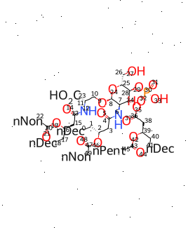 CCCCCCCCCCC[C@H](CC(=O)N[C@H]1[C@@H](OC[C@H](NC(=O)C[C@@H](CCCCCCCCCCC)OC(=O)CCCCCCCCC)C(=O)O)O[C@H](CO)[C@@H](OP(=O)(O)O)[C@@H]1OC(=O)C[C@@H](CCCCCCCCCCC)OC(=O)CCCCC)OC(=O)CCCCCCCCC